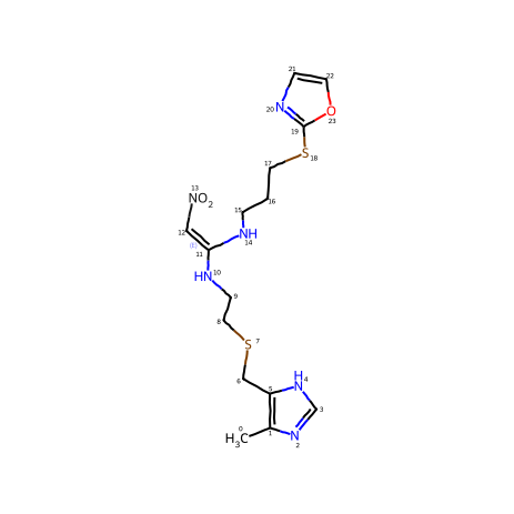 Cc1nc[nH]c1CSCCN/C(=C/[N+](=O)[O-])NCCCSc1ncco1